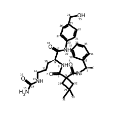 C[C@@H](NC(=O)C1(C(=O)N[C@@H](CCCNC(N)=O)C(=O)Nc2ccc(CO)cc2)CC(C)(C)C1)c1ccccc1